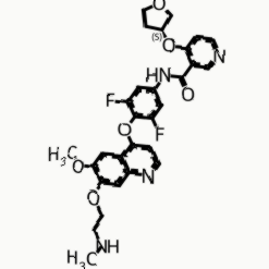 CNCCOc1cc2nccc(Oc3c(F)cc(NC(=O)c4cnccc4O[C@H]4CCOC4)cc3F)c2cc1OC